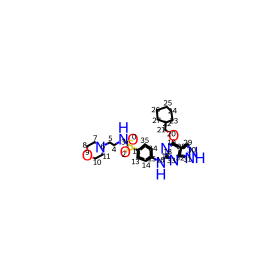 O=S(=O)(NCCN1CCOCC1)c1ccc(Nc2nc(OCC3CCCCC3)c3cn[nH]c3n2)cc1